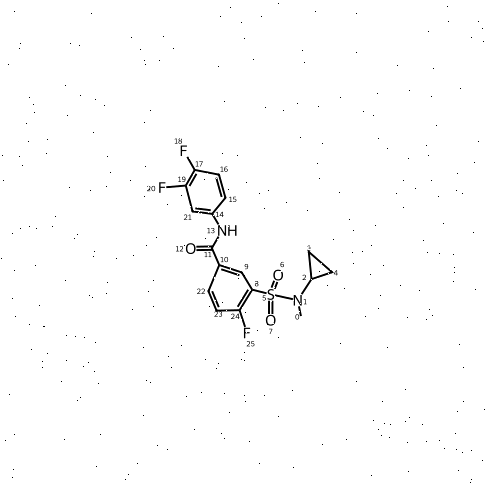 CN(C1CC1)S(=O)(=O)c1cc(C(=O)Nc2ccc(F)c(F)c2)ccc1F